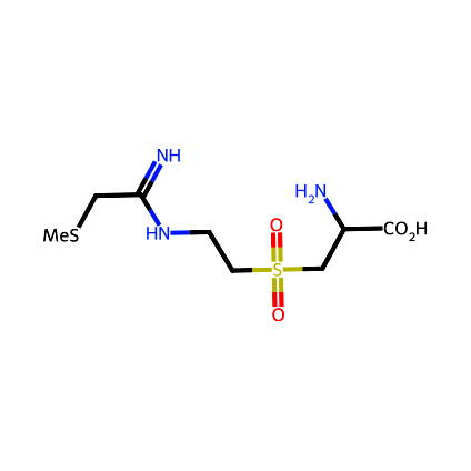 CSCC(=N)NCCS(=O)(=O)CC(N)C(=O)O